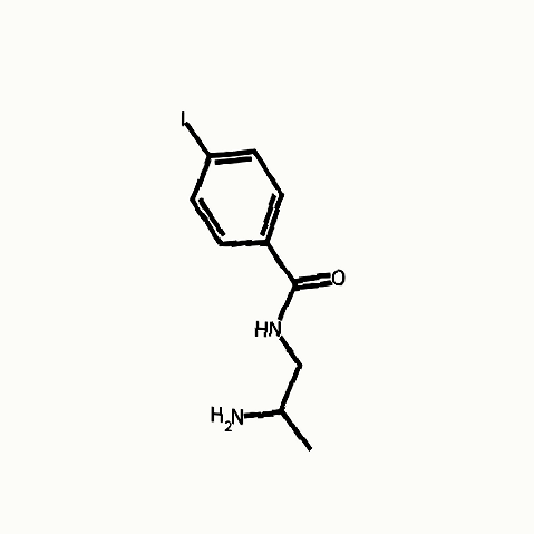 CC(N)CNC(=O)c1ccc(I)cc1